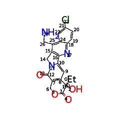 CC[C@@]1(O)C(=O)OCc2c1cc1n(c2=O)Cc2c-1nc1ccc(Cl)cc1c2CN